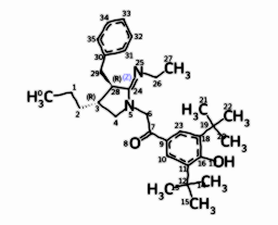 CCC[C@H]1CN(CC(=O)c2cc(C(C)(C)C)c(O)c(C(C)(C)C)c2)/C(=N\CC)[C@@H]1Cc1ccccc1